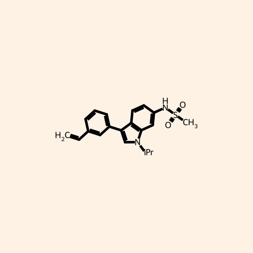 C=Cc1cccc(-c2cn(C(C)C)c3cc(NS(C)(=O)=O)ccc23)c1